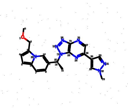 COCc1ccc2ccc([C@H](C)n3nnc4ncc(-c5cnn(C)c5)nc43)cn12